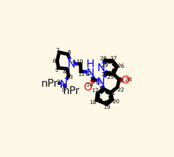 CCCN(CCC)CC1CCCCN1CCNC(=O)N1c2ccccc2CC(=O)c2cccnc21